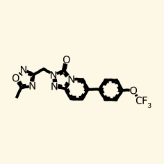 Cc1nc(Cn2nc3ccc(-c4ccc(OC(F)(F)F)cc4)cn3c2=O)no1